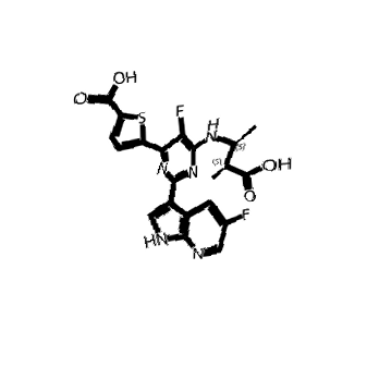 C[C@H](Nc1nc(-c2c[nH]c3ncc(F)cc23)nc(-c2ccc(C(=O)O)s2)c1F)[C@H](C)C(=O)O